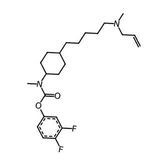 C=CCN(C)CCCCCC1CCC(N(C)C(=O)Oc2ccc(F)c(F)c2)CC1